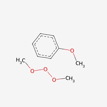 COOOC.COc1ccccc1